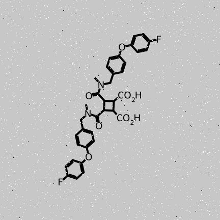 CN(Cc1ccc(Oc2ccc(F)cc2)cc1)C(=O)C1C(C(=O)O)C(C(=O)O)C1C(=O)N(C)Cc1ccc(Oc2ccc(F)cc2)cc1